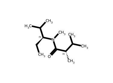 CC[C@@H](C(C)C)N(C)C(=O)[C@@H](C)C(C)C